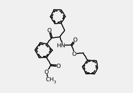 COC(=O)c1cccc(C(=O)C(Cc2ccccc2)NC(=O)OCc2ccccc2)c1